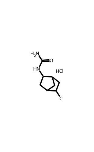 Cl.NC(=O)NC1CC2CC1CC2Cl